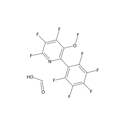 FOc1c(-c2c(F)c(F)c(F)c(F)c2F)nc(F)c(F)c1F.O=CO